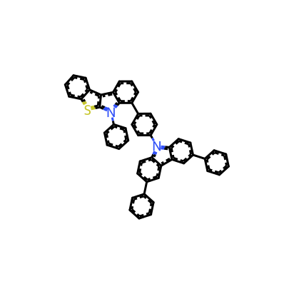 c1ccc(-c2ccc3c(c2)c2cc(-c4ccccc4)ccc2n3-c2ccc(-c3cccc4c5c6ccccc6sc5n(-c5ccccc5)c34)cc2)cc1